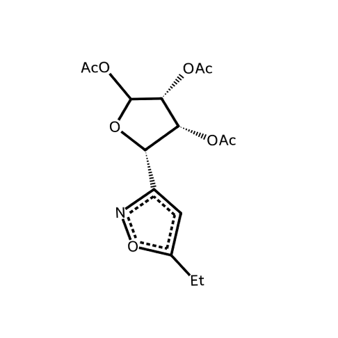 CCc1cc([C@@H]2OC(OC(C)=O)[C@H](OC(C)=O)[C@@H]2OC(C)=O)no1